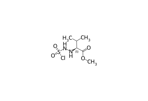 COC(=O)[C@@H](NNS(=O)(=O)Cl)C(C)C